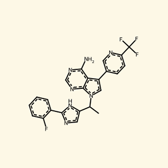 CC(c1cnc(-c2ccccc2F)[nH]1)n1cc(-c2ccc(C(F)(F)F)nc2)c2c(N)ncnc21